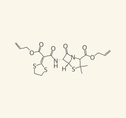 C=CCOC(=O)C(C(=O)N[C@@H]1C(=O)N2C(C(=O)OCC=C)C(C)(C)S[C@H]12)=C1SCCS1